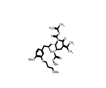 C=C(C)OC(=O)N1C(=O)C(=C(C)C)C[C@H](OC(=O)OC(C)(C)C)[C@@H]1C[C@H](Cc1ccc(OC)c(OCCCOC)c1)C(C)C